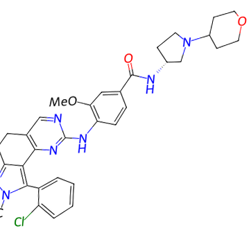 COc1cc(C(=O)N[C@@H]2CCN(C3CCOCC3)C2)ccc1Nc1ncc2c(n1)-c1c(nn(C)c1-c1ccccc1Cl)CC2